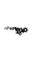 CCCCCN1CCN(C(=O)c2cc3ccccc3n2CCCCC)C2(CC2)C1